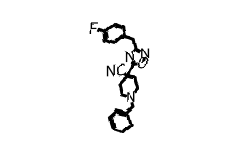 N#CC1(c2nc(Cc3ccc(F)cc3)no2)CCN(Cc2ccccc2)CC1